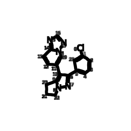 Clc1cccc(-c2nn3c(c2-c2ccc4ncnn4c2)CCC3)c1